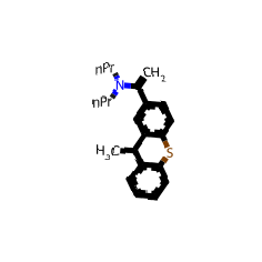 C=C(c1ccc2c(c1)C(C)c1ccccc1S2)N(CCC)CCC